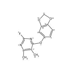 Cc1nc(F)nc(Oc2ccc3c(c2)OCO3)c1C